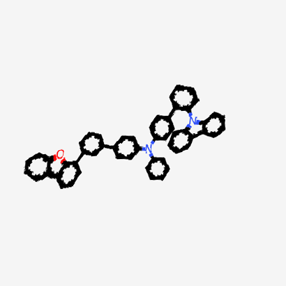 c1ccc(N(c2ccc(-c3cccc(-c4cccc5c4oc4ccccc45)c3)cc2)c2ccc(-c3ccccc3-n3c4ccccc4c4ccccc43)cc2)cc1